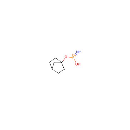 N=[PH](O)OC12CCC(CC1)C2